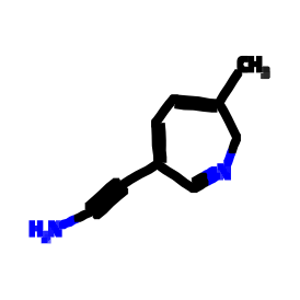 CC1=CC=C(C#CN)C=NC1